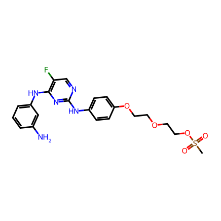 CS(=O)(=O)OCCOCCOc1ccc(Nc2ncc(F)c(Nc3cccc(N)c3)n2)cc1